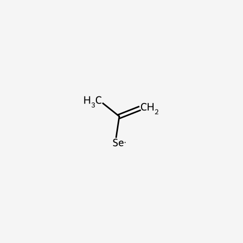 C=C(C)[Se]